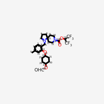 Cc1ccc(CN2CCCC23CCN(C(=O)OC(C(F)(F)F)C(F)(F)F)CC3)c(OC2CCC(OC=O)CC2)c1